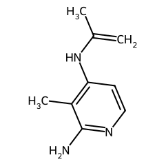 C=C(C)Nc1ccnc(N)c1C